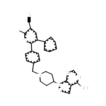 N#Cc1cc(-c2ccccc2)c(-c2ccc(CN3CCC(n4ncc5c(N)ncnc54)CC3)cc2)nc1Cl